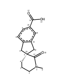 CN1CCC[C@@]2(Cc3ccc(C(=O)O)cc3C2)C1=O